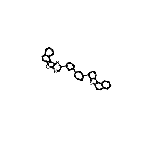 c1cc(-c2cccc(-c3cccc4c3sc3ccc5ccccc5c34)c2)cc(-c2cnc3oc4ccc5ccccc5c4c3n2)c1